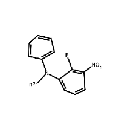 CCCN(c1ccccc1)c1cccc([N+](=O)[O-])c1F